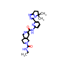 CCNC(=O)N1CCc2cnc(C(=O)Nc3cccc(-c4nnc5n4C(C)(C)CC5)n3)cc2C1